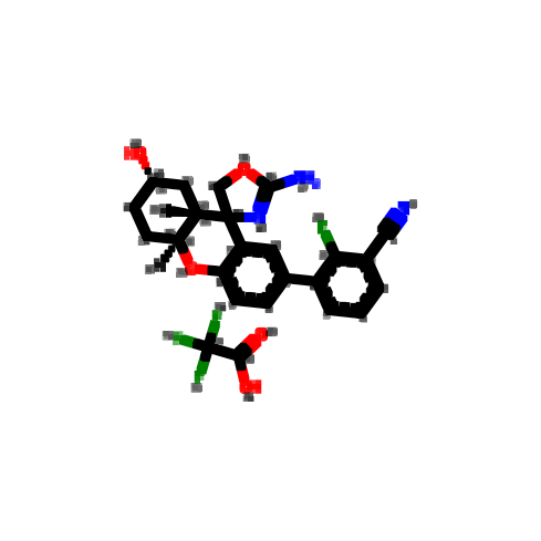 N#Cc1cccc(-c2ccc3c(c2)C2(COC(N)=N2)[C@H]2C[C@@H](O)CC[C@@H]2O3)c1F.O=C(O)C(F)(F)F